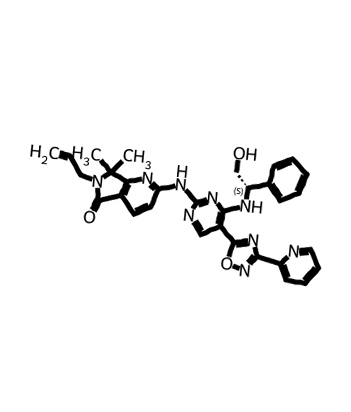 C=CCN1C(=O)c2ccc(Nc3ncc(-c4nc(-c5ccccn5)no4)c(N[C@H](CO)c4ccccc4)n3)nc2C1(C)C